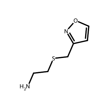 NCCSCc1ccon1